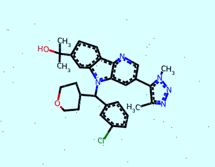 Cc1nnn(C)c1-c1cnc2c3ccc(C(C)(C)O)cc3n(C(c3cccc(Cl)c3)C3CCOCC3)c2c1